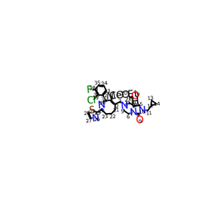 CCOC(=O)/C1=C(\CN2CCN3C(=O)N(CC4CC4)C[C@@H]3[C@H]2C(=O)OC)CCC/C(c2nccs2)=N\[C@H]1c1cccc(F)c1Cl